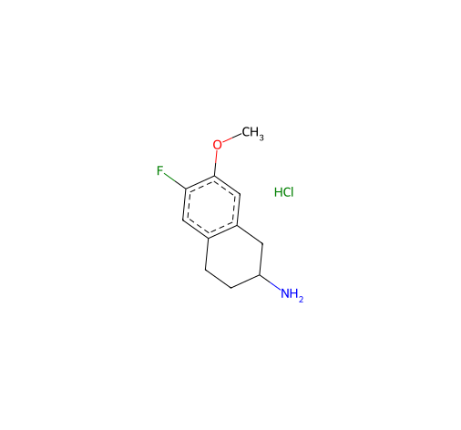 COc1cc2c(cc1F)CCC(N)C2.Cl